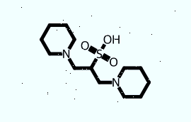 O=S(=O)(O)C(CN1CCCCC1)CN1CCCCC1